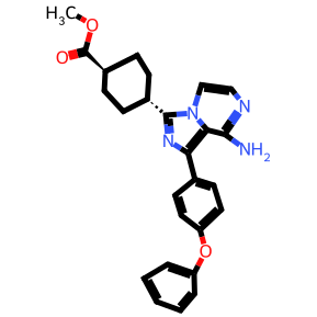 COC(=O)[C@H]1CC[C@H](c2nc(-c3ccc(Oc4ccccc4)cc3)c3c(N)nccn32)CC1